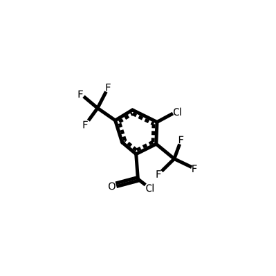 O=C(Cl)c1cc(C(F)(F)F)cc(Cl)c1C(F)(F)F